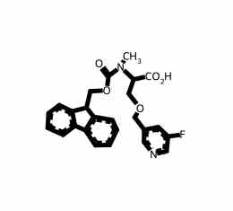 CN(C(=O)OCC1c2ccccc2-c2ccccc21)C(COCc1cncc(F)c1)C(=O)O